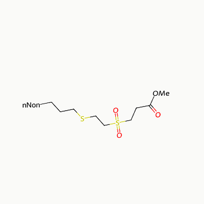 CCCCCCCCCCCCSCCS(=O)(=O)CCC(=O)OC